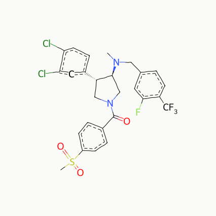 CN(Cc1ccc(C(F)(F)F)c(F)c1)[C@H]1CN(C(=O)c2ccc(S(C)(=O)=O)cc2)C[C@@H]1c1ccc(Cl)c(Cl)c1